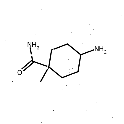 CC1(C(N)=O)CCC(N)CC1